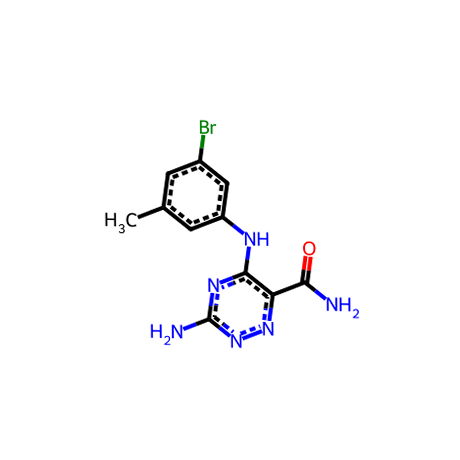 Cc1cc(Br)cc(Nc2nc(N)nnc2C(N)=O)c1